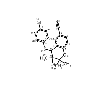 CC1(C)Oc2ccc(C#N)cc2C(Sc2ccc(S)nn2)C1(C)O